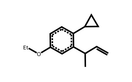 C=C[C](C)c1cc(OCC)ccc1C1CC1